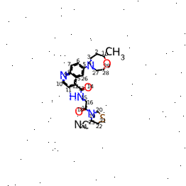 C[C@H]1CCN(c2ccc3nccc(C(=O)NCC(=O)N4CSC[C@H]4C#N)c3c2)CCO1